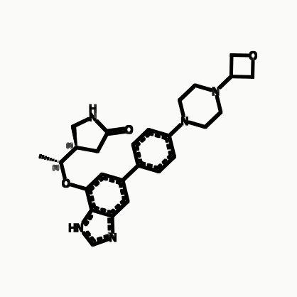 C[C@@H](Oc1cc(-c2ccc(N3CCN(C4COC4)CC3)cc2)cc2nc[nH]c12)[C@H]1CNC(=O)C1